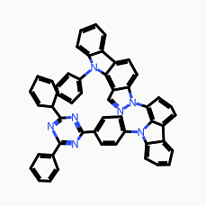 C1=CCC(c2nc(-c3ccccc3)nc(-c3ccc(-n4c5ccccc5c5cccc(-n6ncc7c6ccc6c8ccccc8n(-c8ccccc8)c67)c54)cc3)n2)C=C1